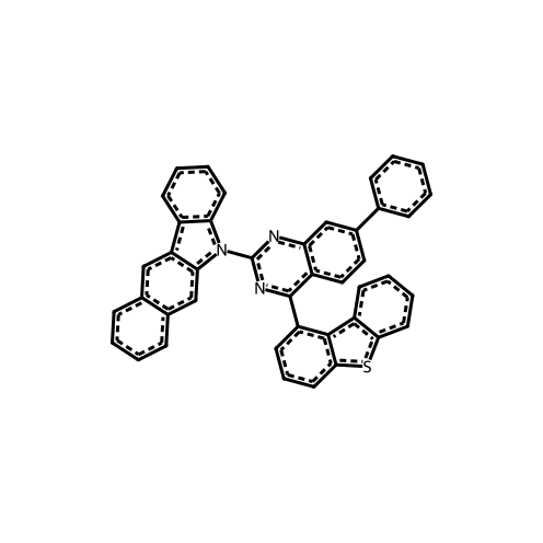 c1ccc(-c2ccc3c(-c4cccc5sc6ccccc6c45)nc(-n4c5ccccc5c5cc6ccccc6cc54)nc3c2)cc1